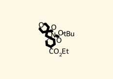 CCOC(=O)[C@H]1CC[C@]2(CC1)CC1(CCOCC1)C(=O)N2C(=O)OC(C)(C)C